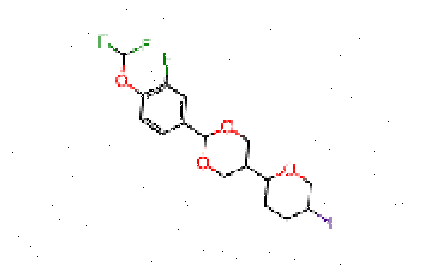 Fc1cc(C2OCC(C3CCC(I)CO3)CO2)ccc1OC(F)F